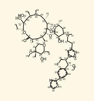 CC[C@H]1OC(=O)[C@H](C)C([C@H]2C[C@@](C)(OC)[C@@H](O)[C@H](C)O2)[C@H](C)[C@@H](O[C@@H]2O[C@H](C)C[C@H](N(C)CCc3cn([C@H](CF)[C@H](OC)c4ccc(-c5nccs5)cc4)nn3)[C@H]2O)[C@](C)(O)C[C@@H](C)CN(C)[C@H](C)[C@@H](O)[C@]1(C)O